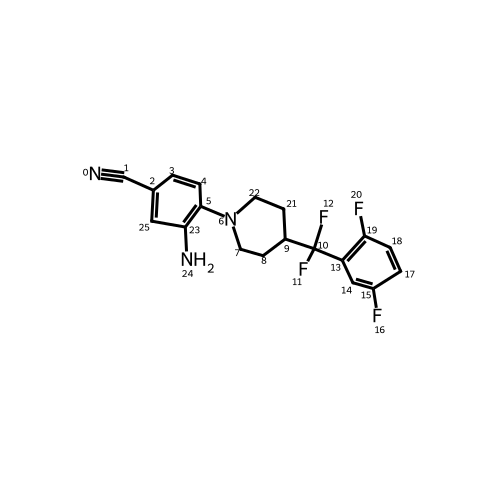 N#Cc1ccc(N2CCC(C(F)(F)c3cc(F)ccc3F)CC2)c(N)c1